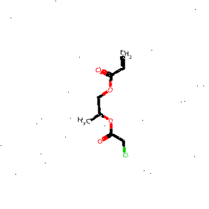 C=CC(=O)OCC(C)OC(=O)CCl